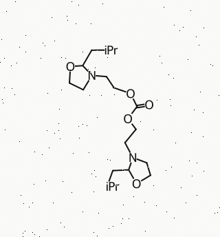 CC(C)CC1OCCN1CCOC(=O)OCCN1CCOC1CC(C)C